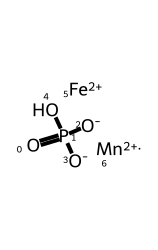 O=P([O-])([O-])O.[Fe+2].[Mn+2]